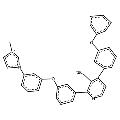 C[n+]1ccn(-c2cccc(Oc3cccc(-c4nccc(-c5cccc(Oc6ccccc6)c5)c4C(C)(C)C)c3)c2)c1